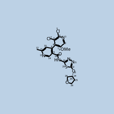 COc1cnc(Cl)c(Cl)c1-c1cc(C)ncc1C(=O)Nc1nnc(O[C@@H]2CCOC2)s1